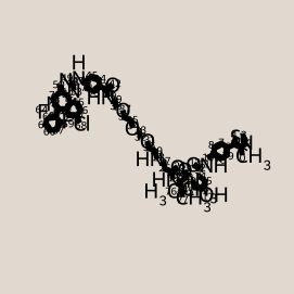 Cc1ncsc1-c1ccc(CNC(=O)[C@@H]2C[C@@H](O)CN2C(=O)[C@@H](NC(=O)CCNCCOCCOCCOCCNC(=O)c2ccc(Nc3ncc4c(n3)-c3ccc(Cl)cc3C(c3c(F)cccc3F)=NC4)cc2)C(C)(C)C)cc1